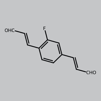 O=CC=Cc1ccc(C=CC=O)c(F)c1